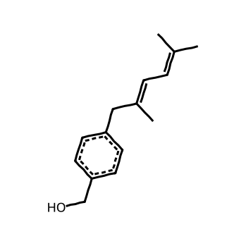 CC(C)=C/C=C(\C)Cc1ccc(CO)cc1